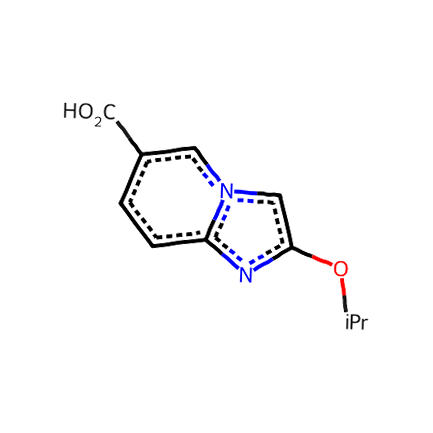 CC(C)Oc1cn2cc(C(=O)O)ccc2n1